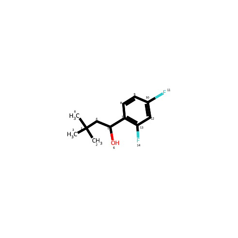 CC(C)(C)CC(O)c1ccc(F)cc1F